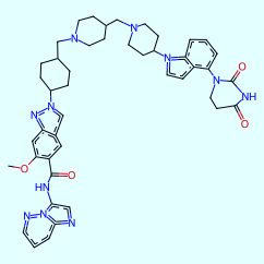 COc1cc2nn(C3CCC(CN4CCC(CN5CCC(n6ccc7c(N8CCC(=O)NC8=O)cccc76)CC5)CC4)CC3)cc2cc1C(=O)Nc1cnc2cccnn12